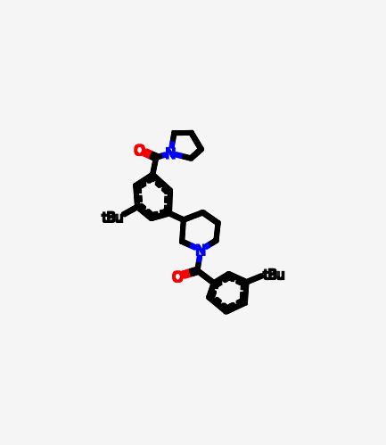 CC(C)(C)c1cccc(C(=O)N2CCCC(c3cc(C(=O)N4CCCC4)cc(C(C)(C)C)c3)C2)c1